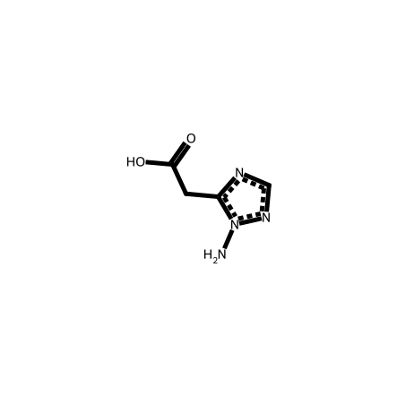 Nn1ncnc1CC(=O)O